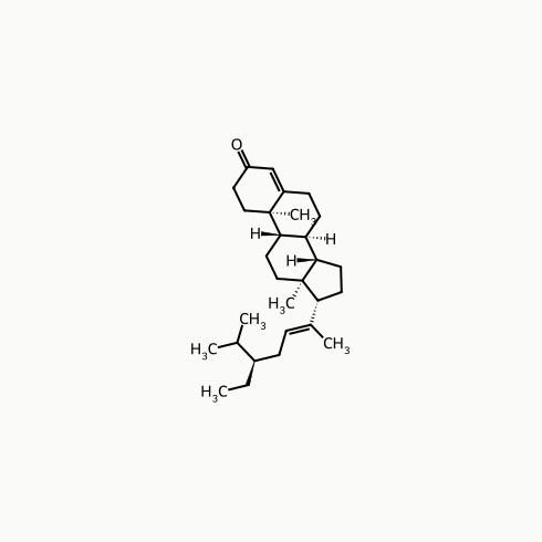 CC[C@H](CC=C(C)[C@H]1CC[C@H]2[C@@H]3CCC4=CC(=O)CC[C@]4(C)[C@H]3CC[C@]12C)C(C)C